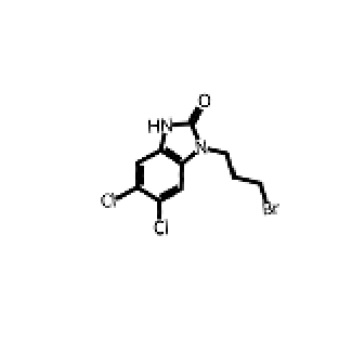 O=c1[nH]c2cc(Cl)c(Cl)cc2n1CCCBr